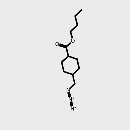 CCCCOC(=O)C1CCC(CN=[N+]=[N-])CC1